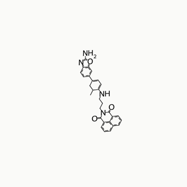 CC1CC(c2ccc3nc(N)oc3c2)=CC=C1NCCCN1C(=O)c2cccc3cccc(c23)C1=O